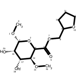 CO[C@@H]1OC(C(=O)OCC2CCCO2)[C@@H](OC)[C@H](O)[C@@H]1O